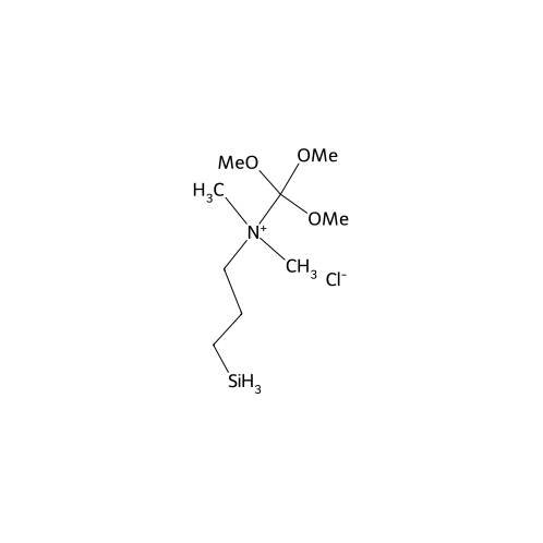 COC(OC)(OC)[N+](C)(C)CCC[SiH3].[Cl-]